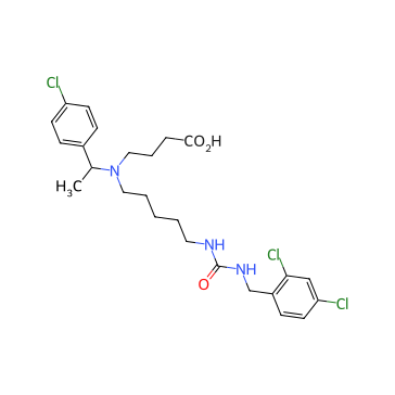 CC(c1ccc(Cl)cc1)N(CCCCCNC(=O)NCc1ccc(Cl)cc1Cl)CCCC(=O)O